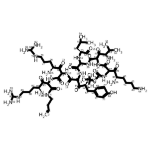 C=CCCNC(=O)C(NC(=O)C(NC(=O)C(NC(=O)C(NC(=O)C(NC(=O)C(NC(=O)OC(C)(C)C)C(=O)[C@@H](N)CCCCN)C(=O)[C@@H](N)C(C)C)N[C@H](C=O)CC(C)C)C(=O)[C@@H](N)Cc1ccc(O)cc1)C(=O)[C@@H](N)CCCNC(N)N)C(=O)[C@@H](N)CCCNC(N)N